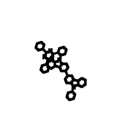 c1ccc(-c2nc(-c3ccccc3)nc(-c3ccccc3-n3c4ccccc4c4cc(-c5ccc6c(c5)c5ccccc5n6-c5ccccc5)ccc43)n2)cc1